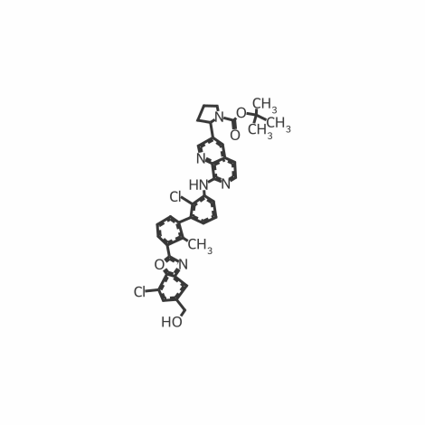 Cc1c(-c2nc3cc(CO)cc(Cl)c3o2)cccc1-c1cccc(Nc2nccc3cc(C4CCCN4C(=O)OC(C)(C)C)cnc23)c1Cl